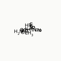 COc1cc(S(N)(=O)=O)ccc1NCC#Cc1cc2c(N[C@H]3CC[C@@H](N4CCCC4)CC3)cccc2n1CC(F)(F)F